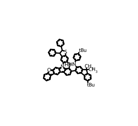 CC(C)(C)c1ccc(Nc2cc3c(cc2-c2ccc4c5cc6c(cc5n5c4c2Bc2cc4c(cc2-5)C(c2ccccc2)C(c2ccccc2)S4)oc2ccccc26)-c2cc(C(C)(C)C)ccc2C3(C)C)cc1